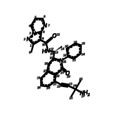 Cc1nn2cccnc2c1C(=O)N[C@H](C)c1cc2cccc(C#CC(C)(C)N)c2c(=O)n1-c1ccccc1